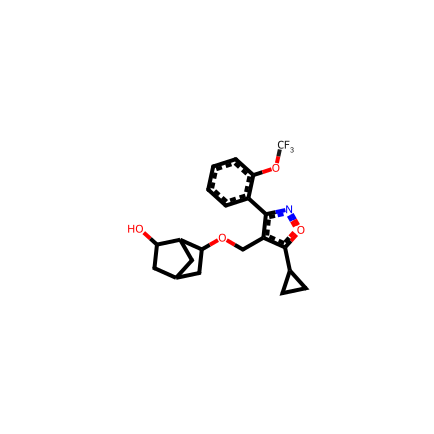 OC1CC2CC(OCc3c(-c4ccccc4OC(F)(F)F)noc3C3CC3)C1C2